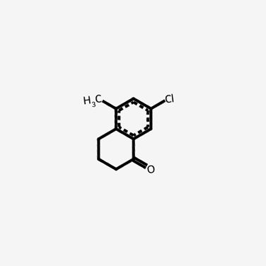 Cc1cc(Cl)cc2c1CCCC2=O